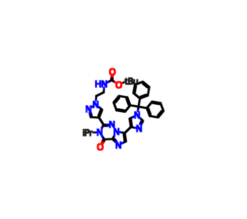 CC(C)n1c(-c2cnn(CCNC(=O)OC(C)(C)C)c2)nn2c(-c3cn(C(c4ccccc4)(c4ccccc4)c4ccccc4)cn3)cnc2c1=O